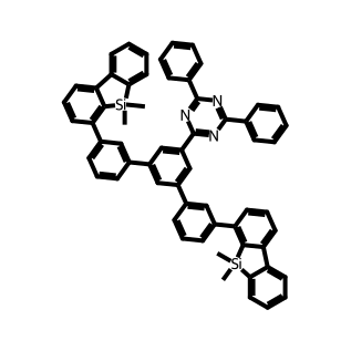 C[Si]1(C)c2ccccc2-c2cccc(-c3cccc(-c4cc(-c5cccc(-c6cccc7c6[Si](C)(C)c6ccccc6-7)c5)cc(-c5nc(-c6ccccc6)nc(-c6ccccc6)n5)c4)c3)c21